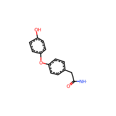 [NH]C(=O)Cc1ccc(Oc2ccc(O)cc2)cc1